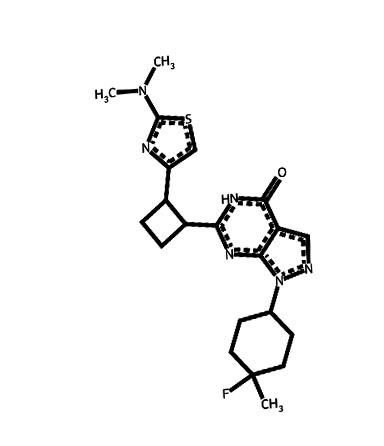 CN(C)c1nc(C2CCC2c2nc3c(cnn3C3CCC(C)(F)CC3)c(=O)[nH]2)cs1